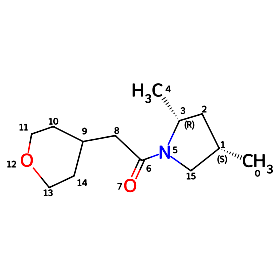 C[C@H]1C[C@@H](C)N(C(=O)CC2CCOCC2)C1